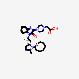 CC1CC[C@@H](C[C@H](C)n2c(=O)c(N3CCN(CC(=O)O)CC3)nc3ccccc32)N1C1CCCCCCC1